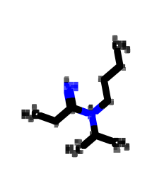 CCCCN(C(=N)CC)C(C)C